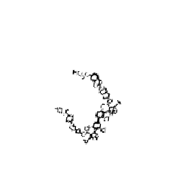 O=C(O)c1ccc2nc(N3CC4CC(OCc5c(-c6c(Cl)ccc(-c7cc(Cl)c(-c8noc(C9CC9)c8COC8CC9(CCN(c%10cnc(C(=O)O)cn%10)C9)C8)c(Cl)c7)c6Cl)noc5C5CC5)CC4C3)oc2c1